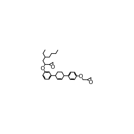 CCCCC(CC)CC(Oc1cccc(C2C=CC(c3ccc(OCC4CO4)cc3)CC2)c1)C1CO1